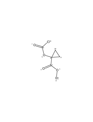 CCOC(=O)C1(OC(=O)Cl)CC1